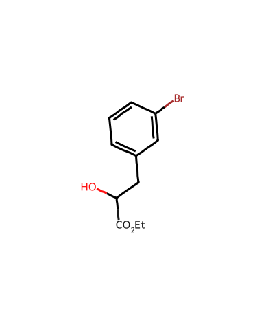 CCOC(=O)C(O)Cc1cccc(Br)c1